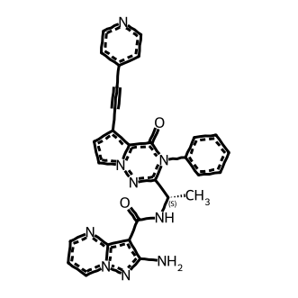 C[C@H](NC(=O)c1c(N)nn2cccnc12)c1nn2ccc(C#Cc3ccncc3)c2c(=O)n1-c1ccccc1